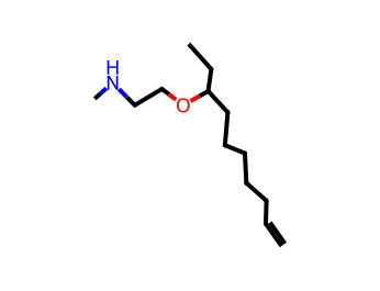 C=CCCCCCC(CC)OCCNC